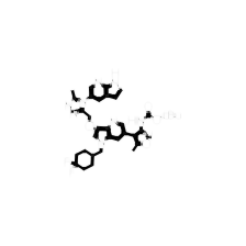 Cc1nnc(CCl)n1-c1cnc2[nH]ccc2c1.Cc1onc(NC(=O)OC(C)(C)C)c1-c1cnc2ccn(CC3CCC(F)(F)CC3)c2c1